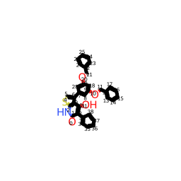 O=c1[nH]c2scc(-c3cc(OCc4ccccc4)cc(OCc4ccccc4)c3)c2c(O)c1-c1ccccc1